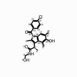 Cc1c([C@@H](C)C(=O)NCO)c2c(F)c(O)c(F)cc2n1C(=O)c1ccc(Cl)cc1